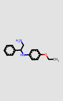 CCOc1ccc(NC(CN)c2ccccc2)cc1